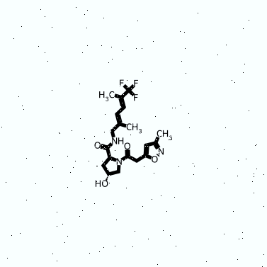 C/C(=C\C=C(/C)C(F)(F)F)CNC(=O)C1C[C@@H](O)CN1C(=O)Cc1cc(C)no1